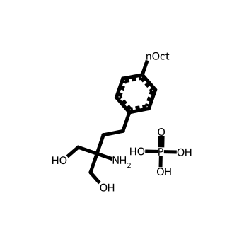 CCCCCCCCc1ccc(CCC(N)(CO)CO)cc1.O=P(O)(O)O